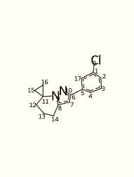 Clc1cccc(-c2cc3n(n2)C2(CCC3)CC2)c1